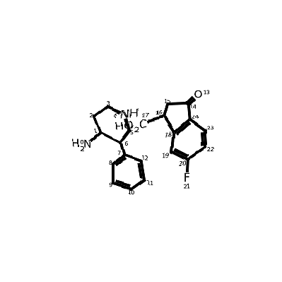 NC1CCNCC1c1ccccc1.O=C1CC(C(=O)O)c2cc(F)ccc21